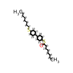 CCCCCCCCSc1ccc(-c2ccc(SC(=O)CCCCCCC)cc2)cc1